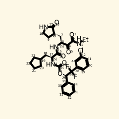 CCNC(=O)C(=O)[C@H](C[C@@H]1CCNC1=O)NC(=O)[C@H](CC1CCCC1)NC(=O)O[C@@H](c1ccccc1)C(F)(F)c1cccc(Cl)c1